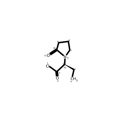 CC[C@@H](C(=O)Cl)N1CCCC1=O